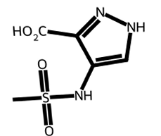 CS(=O)(=O)Nc1c[nH]nc1C(=O)O